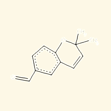 CC1(C)C=Cc2cc(C=O)ccc2O1